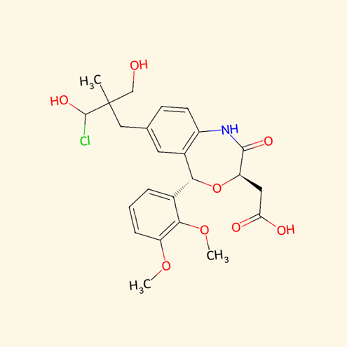 COc1cccc([C@H]2O[C@H](CC(=O)O)C(=O)Nc3ccc(CC(C)(CO)C(O)Cl)cc32)c1OC